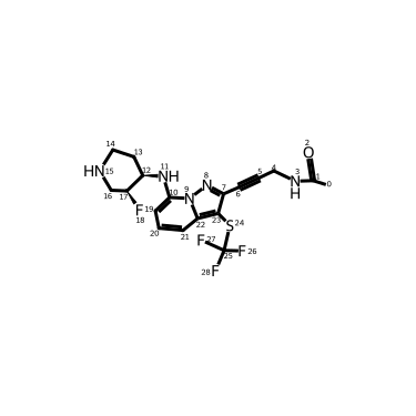 CC(=O)NCC#Cc1nn2c(N[C@@H]3CCNC[C@@H]3F)cccc2c1SC(F)(F)F